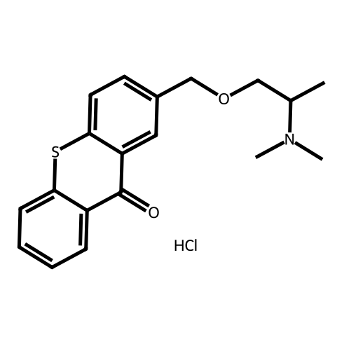 CC(COCc1ccc2sc3ccccc3c(=O)c2c1)N(C)C.Cl